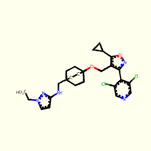 O=C(O)Cn1ccc(NCC23CCC(OCc4c(-c5c(Cl)cncc5Cl)noc4C4CC4)(CC2)CC3)n1